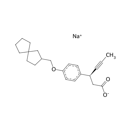 CC#C[C@@H](CC(=O)[O-])c1ccc(OCC2CCC3(CCCC3)C2)cc1.[Na+]